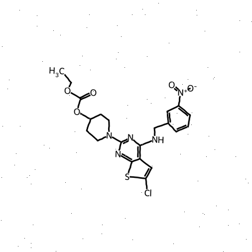 CCOC(=O)OC1CCN(c2nc(NCc3cccc([N+](=O)[O-])c3)c3cc(Cl)sc3n2)CC1